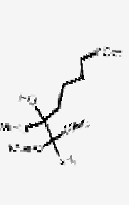 CCCCCCCCCCCCC(O)(OC)C([SiH3])(OC)OC